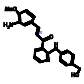 COc1ccc(/C=C/C(=O)c2cccnc2Nc2ccc(CO)cc2)cc1N